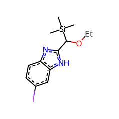 CCOC(c1nc2ccc(I)cc2[nH]1)[Si](C)(C)C